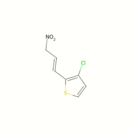 O=[N+]([O-])C/C=C/c1sccc1Cl